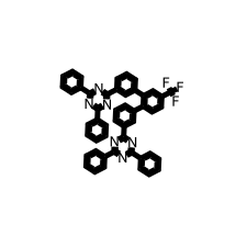 FC(F)(F)c1ccc(-c2cccc(-c3nc(-c4ccccc4)nc(-c4ccccc4)n3)c2)c(-c2cccc(-c3nc(-c4ccccc4)nc(-c4ccccc4)n3)c2)c1